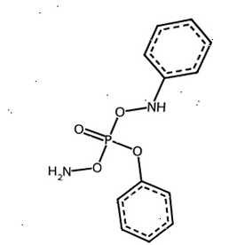 NOP(=O)(ONc1ccccc1)Oc1ccccc1